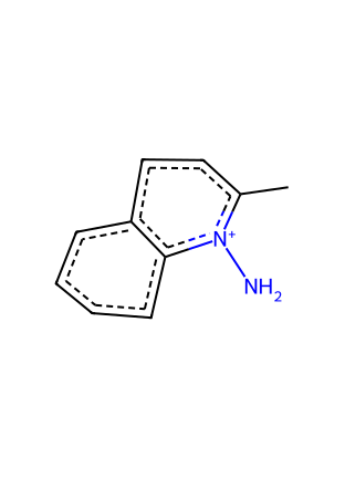 Cc1ccc2ccccc2[n+]1N